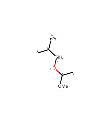 CCCC(C)[SiH2]OC(C)OC